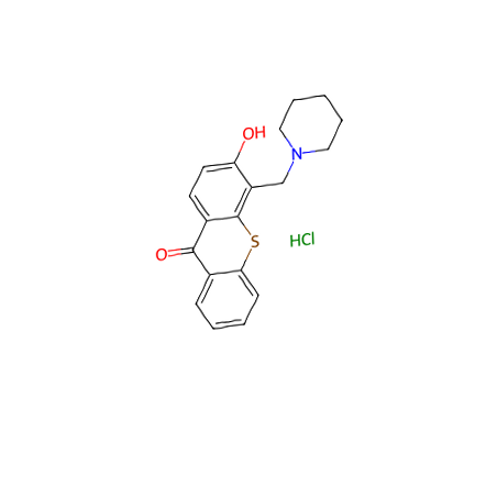 Cl.O=c1c2ccccc2sc2c(CN3CCCCC3)c(O)ccc12